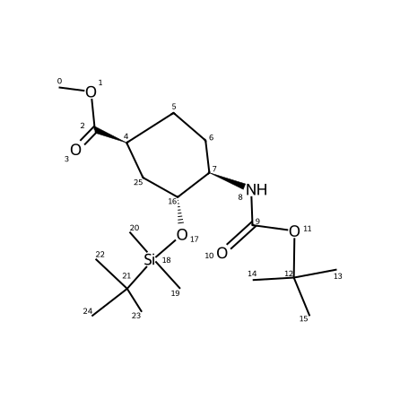 COC(=O)[C@H]1CC[C@@H](NC(=O)OC(C)(C)C)[C@H](O[Si](C)(C)C(C)(C)C)C1